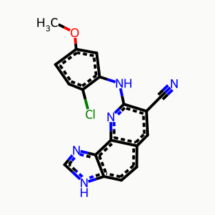 COc1ccc(Cl)c(Nc2nc3c(ccc4[nH]cnc43)cc2C#N)c1